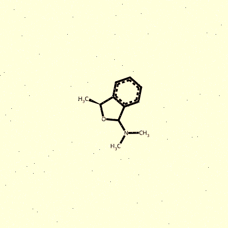 C[C@@H]1OC(N(C)C)c2ccccc21